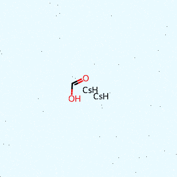 O=CO.[CsH].[CsH]